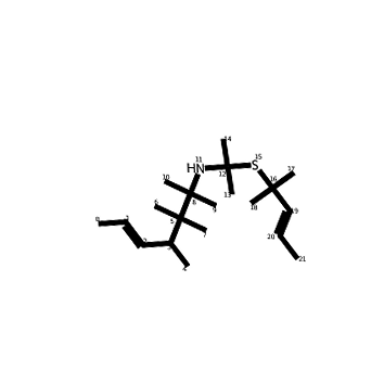 CC=CC(C)C(C)(C)C(C)(C)NC(C)(C)SC(C)(C)C=CC